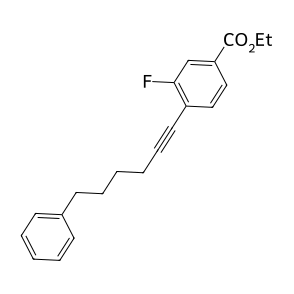 CCOC(=O)c1ccc(C#CCCCCc2ccccc2)c(F)c1